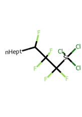 CCCCCCCC(F)C(F)(F)C(F)(F)[Si](Cl)(Cl)Cl